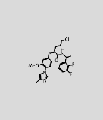 COc1cc(C=C(CCCCl)C(=O)NC(C)c2cccc(F)c2F)ccc1-n1cnc(C)c1